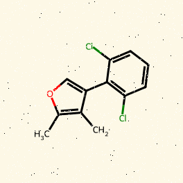 [CH2]c1c(-c2c(Cl)cccc2Cl)coc1C